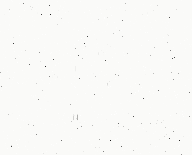 CCOC(C#N)(OCC)P=O